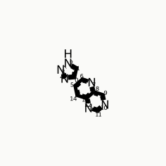 c1c[nH]nn1.c1cnc2cncnc2c1